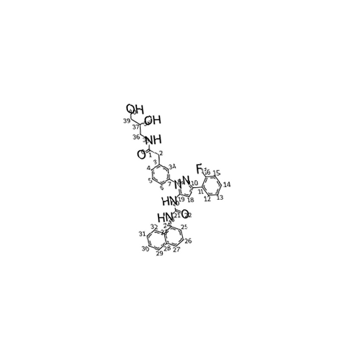 O=C(Cc1cccc(-n2nc(-c3ccccc3F)cc2NC(=O)Nc2cccc3ccccc23)c1)NCC(O)CO